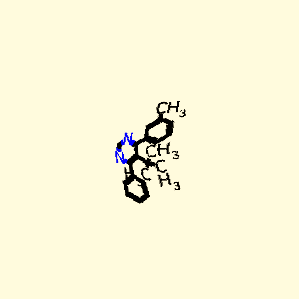 Cc1cccc(-c2ncnc(-c3ccccc3)c2C(C)(C)C)c1